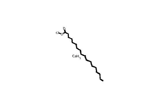 CCCCCCCCCCCCCCCCCC(=O)OCl.[CaH2]